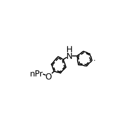 CCCOc1ccc(Nc2cc[c]cc2)cc1